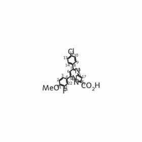 COc1ccc(-c2cc(-c3ccc(Cl)cc3)nc3cc(C(=O)O)nn23)cc1F